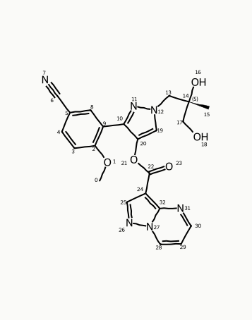 COc1ccc(C#N)cc1-c1nn(C[C@](C)(O)CO)cc1OC(=O)c1cnn2cccnc12